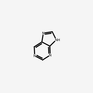 [c]1n[c]c2nc[nH]c2n1